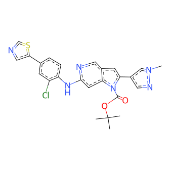 Cn1cc(-c2cc3cnc(Nc4ccc(-c5cncs5)cc4Cl)cc3n2C(=O)OC(C)(C)C)cn1